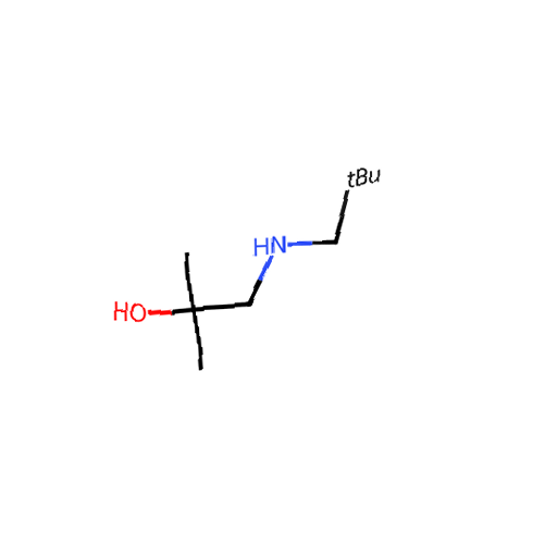 CC(C)(C)CNCC(C)(C)O